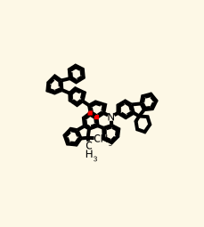 CC1(C)c2ccccc2-c2cccc(-c3ccccc3N(c3ccc(-c4ccc(-c5ccccc5-c5ccccc5)cc4)cc3)c3ccc4c(c3)C3(CCCCC3)c3ccccc3-4)c21